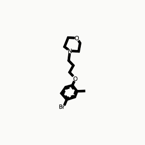 Cc1cc(Br)ccc1OCCCN1CCOCC1